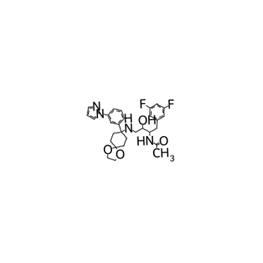 CC(=O)NC(Cc1cc(F)cc(F)c1)C(O)CNC1(c2cccc(-n3cccn3)c2)CCC2(CC1)OCCO2